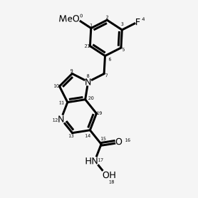 COc1cc(F)cc(Cn2ccc3ncc(C(=O)NO)cc32)c1